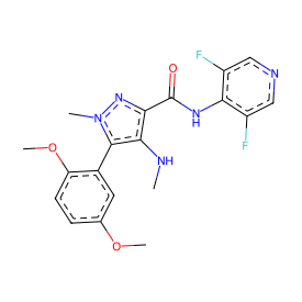 CNc1c(C(=O)Nc2c(F)cncc2F)nn(C)c1-c1cc(OC)ccc1OC